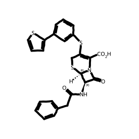 O=C(Cc1ccccc1)N[C@@H]1C(=O)N2C(C(=O)O)=C(Sc3cccc(-c4cccs4)c3)CS[C@H]12